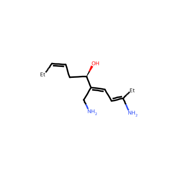 CC/C=C\C[C@@H](O)/C(=C/C=C(/N)CC)CN